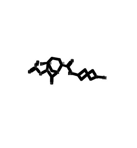 CC(=O)N1CC2(CC(NC(=O)[C@@H]3CC[C@@H]4CN3C(=O)N4O[SH](=O)=O)C2)C1